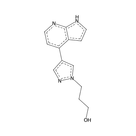 OCCCn1cc(-c2ccnc3[nH]ccc23)cn1